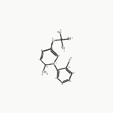 [2H]C([2H])([2H])OC1=CN(c2ccccc2F)C(C)C=C1